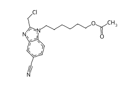 CC(=O)OCCCCCCn1c(CCl)nc2cc(C#N)ccc21